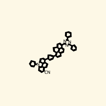 N#Cc1ccc2c3c1ccc1c(-c4ccc(-c5ccc6ccc7c(-c8nc(-c9ccccc9)nc(-c9ccccc9)n8)ccc8ccc5c6c87)cc4)ccc(c13)n2-c1ccccc1